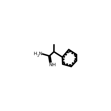 CC(C(=N)N)c1ccccc1